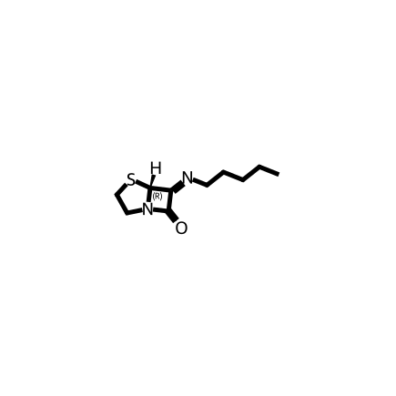 CCCCCN=C1C(=O)N2CCS[C@H]12